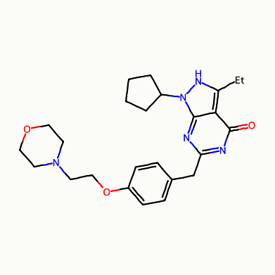 CCc1[nH]n(C2CCCC2)c2nc(Cc3ccc(OCCN4CCOCC4)cc3)nc(=O)c1-2